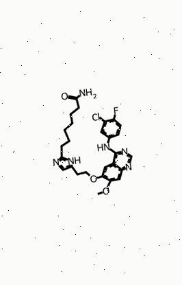 COc1cc2ncnc(Nc3ccc(F)c(Cl)c3)c2cc1OCCc1cnc(CCCCCCC(N)=O)[nH]1